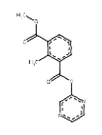 COC(=O)c1cccc(C(=O)Oc2cnccn2)c1C